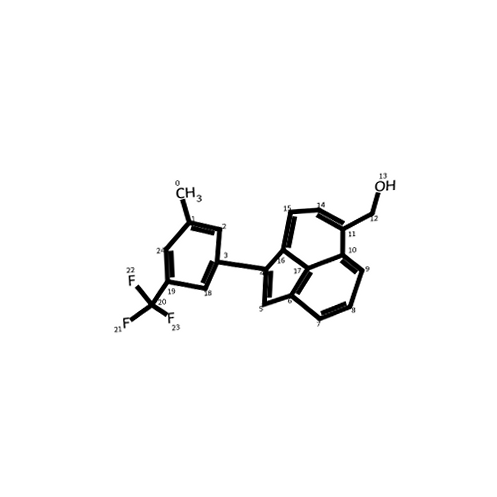 Cc1cc(C2=Cc3cccc4c(CO)ccc2c34)cc(C(F)(F)F)c1